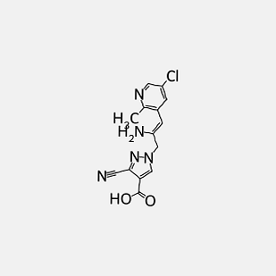 Cc1ncc(Cl)cc1/C=C(\N)Cn1cc(C(=O)O)c(C#N)n1